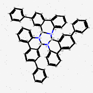 c1ccc(-c2ccc3c(c2)B2N(B4c5cc(-c6ccccc6)ccc5-c5ccccc5N4B4c5cc(-c6ccccc6)ccc5-c5ccccc5N24)c2ccccc2-3)cc1